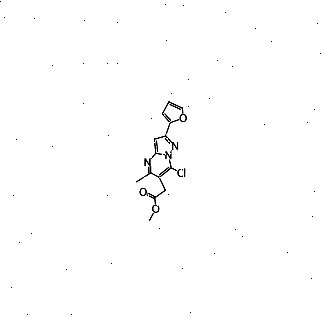 COC(=O)Cc1c(C)nc2cc(-c3ccco3)nn2c1Cl